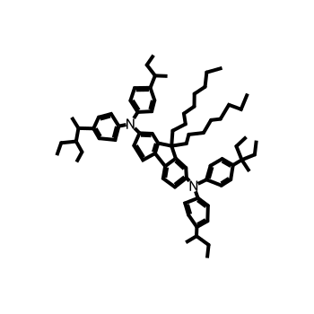 CCCCCCCCC1(CCCCCCCC)c2cc(N(c3ccc(C(C)CC)cc3)c3ccc(C(C)C(CC)CC)cc3)ccc2-c2ccc(N(c3ccc(C(C)CC)cc3)c3ccc(C(C)(CC)CC)cc3)cc21